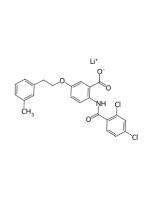 Cc1cccc(CCOc2ccc(NC(=O)c3ccc(Cl)cc3Cl)c(C(=O)[O-])c2)c1.[Li+]